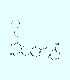 N#Cc1cccnc1Oc1ccc(/C=C(\NC(=O)CCC2CCCC2)C(=O)O)cc1